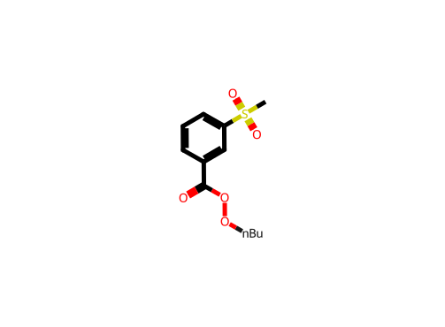 CCCCOOC(=O)c1cccc(S(C)(=O)=O)c1